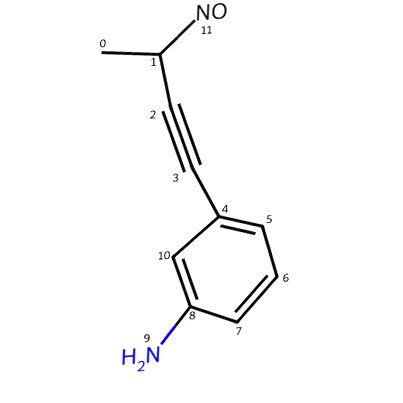 CC(C#Cc1cccc(N)c1)N=O